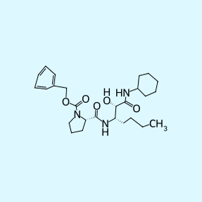 CCCC[C@H](NC(=O)[C@@H]1CCCN1C(=O)OCc1ccccc1)[C@H](O)C(=O)NC1CCCCC1